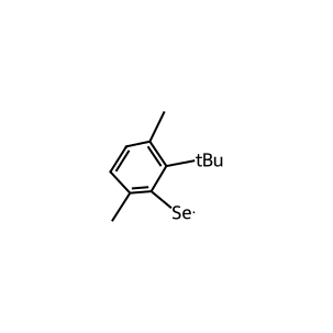 Cc1ccc(C)c(C(C)(C)C)c1[Se]